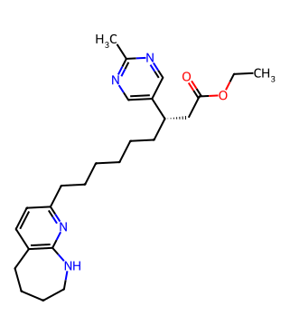 CCOC(=O)C[C@H](CCCCCCc1ccc2c(n1)NCCCC2)c1cnc(C)nc1